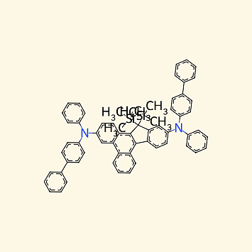 C[Si](C)(C)C1([Si](C)(C)C)c2cc(N(c3ccccc3)c3ccc(-c4ccccc4)cc3)ccc2-c2c1c1ccc(N(c3ccccc3)c3ccc(-c4ccccc4)cc3)cc1c1ccccc21